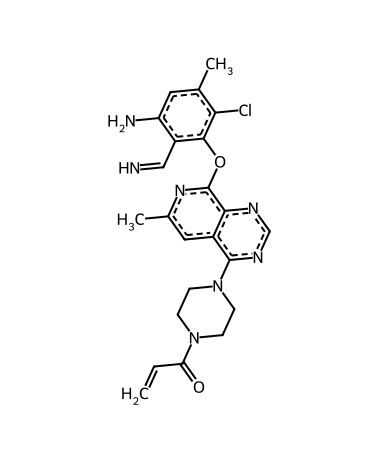 C=CC(=O)N1CCN(c2ncnc3c(Oc4c(Cl)c(C)cc(N)c4C=N)nc(C)cc23)CC1